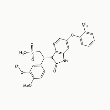 CCOc1cc(C(CS(C)(=O)=O)n2c(=O)[nH]c3cc(Oc4ccccc4C(F)(F)F)cnc32)ccc1OC